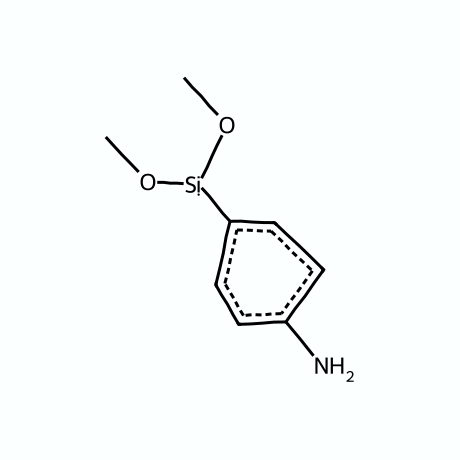 CO[Si](OC)c1ccc(N)cc1